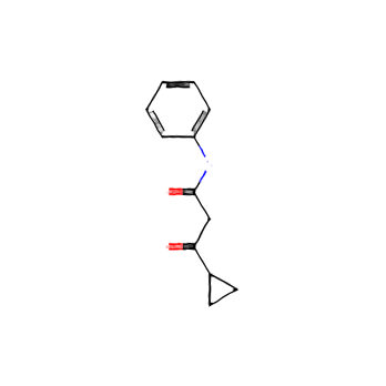 O=C(CC(=O)C1CC1)Nc1ccccc1